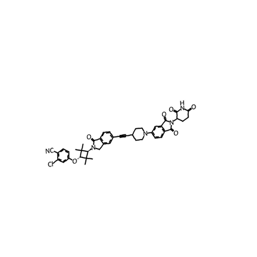 CC1(C)[C@H](Oc2ccc(C#N)c(Cl)c2)C(C)(C)[C@H]1N1Cc2cc(C#CC3CCN(c4ccc5c(c4)C(=O)N(C4CCC(=O)NC4=O)C5=O)CC3)ccc2C1=O